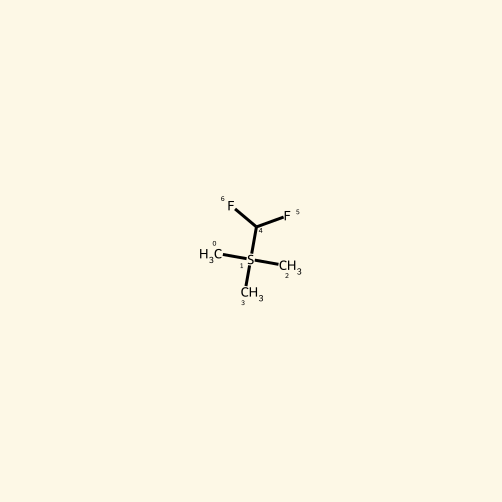 CS(C)(C)C(F)F